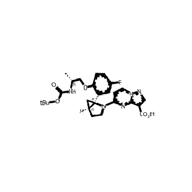 CCOC(=O)c1cnn2ccc(N3CC[C@H]4C[C@]43c3cc(F)ccc3OC[C@@H](C)NC(=O)OC(C)(C)C)nc12